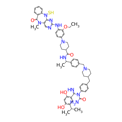 CCOc1cc(N2CCC(C(=O)NC(C)c3ccc(CN4CCC(Cc5ccc(N(C(=N)c6cc(C(C)C)c(O)cc6O)C(N)=O)cc5)CC4)cc3)CC2)ccc1Nc1ncc2c(n1)N(S)c1ccccc1C(=O)N2C